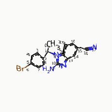 CC(c1ccc(Br)cc1)n1c(N)nc2cc(C#N)ccc21